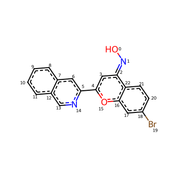 ON=c1cc(-c2cc3ccccc3cn2)oc2cc(Br)ccc12